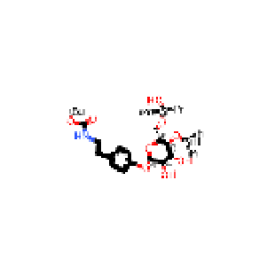 CC(C)[SiH](O[C@H]1[C@H](O)[C@@H](O)[C@H](Oc2ccc(CCNC(=O)OC(C)(C)C)cc2)O[C@@H]1CO[Si](O)(C(C)C)C(C)C)C(C)C